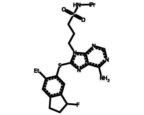 CCc1cc2c(cc1Sc1nc3c(N)ncnc3n1CCCS(=O)(=O)NC(C)C)C(F)CC2